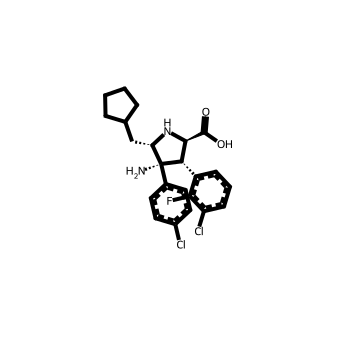 N[C@]1(c2ccc(Cl)cc2)[C@H](CC2CCCC2)N[C@@H](C(=O)O)[C@@H]1c1cccc(Cl)c1F